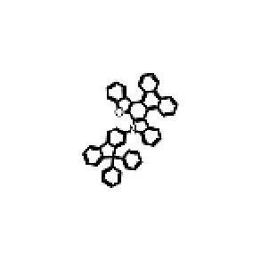 c1ccc(C2(c3ccccc3)c3ccccc3-c3ccc(-n4c5ccccc5c5c6c7ccccc7c7ccccc7c6c6c7ccccc7oc6c54)cc32)cc1